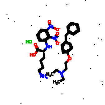 CCN(CC)CCOc1ccc(Cc2ccccc2)cc1.Cl.NCCCC[C@H](Nc1cccc([N+](=O)[O-])c1[N+](=O)[O-])C(=O)O